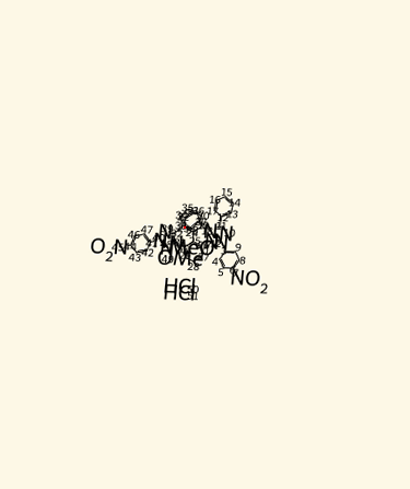 CON1N(c2ccc([N+](=O)[O-])cc2)N=C(c2ccccc2)N1c1ccccc1-c1ccccc1N1C(c2ccccc2)=NN(c2ccc([N+](=O)[O-])cc2)N1OC.Cl.Cl